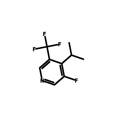 CC(C)c1c(F)cncc1C(F)(F)F